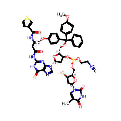 [C-]#[N+]CCOP(OC[C@H]1O[C@@H](n2cc(C)c(=O)[nH]c2=O)CC1O)OC1C[C@H](n2cnc3c(=O)[nH]c(NC(=O)CCNC(=O)c4ccsc4)nc32)O[C@@H]1COC(c1ccccc1)(c1ccc(OC)cc1)c1ccc(OC)cc1